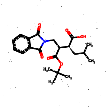 CC(C)C[C@@H](C(=O)O)C(CN1C(=O)c2ccccc2C1=O)C(=O)OC(C)(C)C